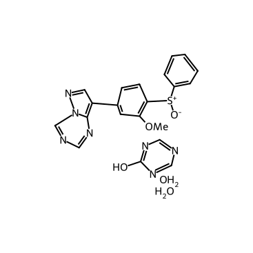 COc1cc(-c2cnn3cncnc23)ccc1[S+]([O-])c1ccccc1.O.O.Oc1ncncn1